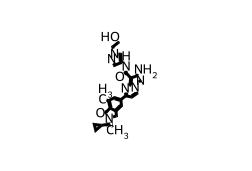 Cc1cc(-c2ccn3nc(N)c(C(=O)Nc4cnn(CCO)c4)c3n2)cc2c1C(=O)N([C@@H](C)C1CC1)C2